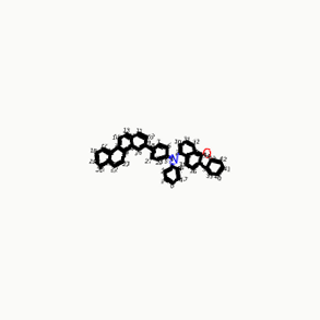 c1ccc(N(c2ccc(-c3ccc4ccc5c6ccccc6ccc5c4c3)cc2)c2cccc3c2ccc2c4ccccc4oc32)cc1